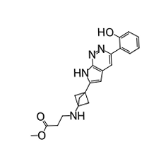 COC(=O)CCNC12CC(c3cc4cc(-c5ccccc5O)nnc4[nH]3)(C1)C2